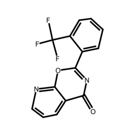 O=c1nc(-c2ccccc2C(F)(F)F)oc2ncccc12